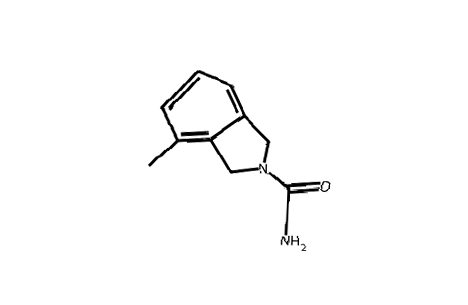 Cc1cccc2c1CN(C(N)=O)C2